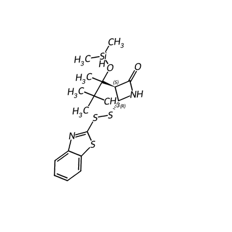 C[SiH](C)OC(C)([C@H]1C(=O)N[C@@H]1SSc1nc2ccccc2s1)C(C)(C)C